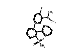 CN(C)c1cc(-c2cccc(S(N)(=O)=O)c2-c2ccccc2)ccc1F